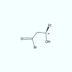 CC[C@@H](O)CC(=O)Br